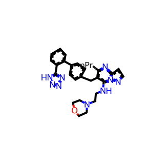 CCCc1nc2ccnn2c(NCCN2CCOCC2)c1Cc1ccc(-c2ccccc2-c2nnn[nH]2)cc1